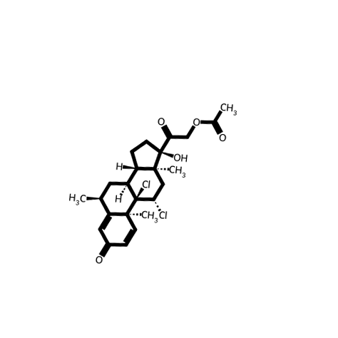 CC(=O)OCC(=O)[C@@]1(O)CC[C@H]2[C@@H]3C[C@H](C)C4=CC(=O)C=C[C@]4(C)[C@@]3(Cl)[C@@H](Cl)C[C@@]21C